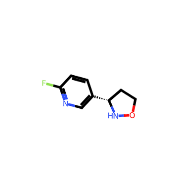 Fc1ccc([C@@H]2CCON2)cn1